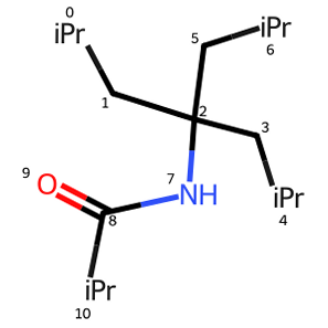 CC(C)CC(CC(C)C)(CC(C)C)NC(=O)C(C)C